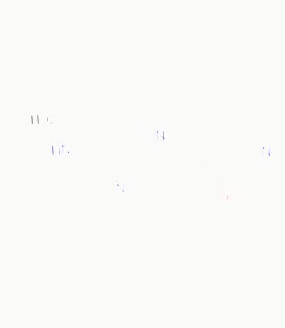 CNc1cnc(-c2cnco2)cn1